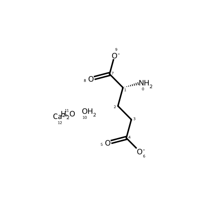 N[C@H](CCC(=O)[O-])C(=O)[O-].O.O.[Ca+2]